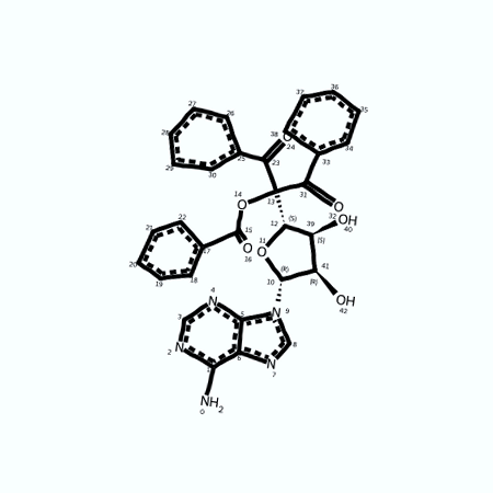 Nc1ncnc2c1ncn2[C@@H]1O[C@H](C(OC(=O)c2ccccc2)(C(=O)c2ccccc2)C(=O)c2ccccc2)[C@@H](O)[C@H]1O